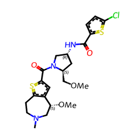 COC[C@@H]1C[C@@H](NC(=O)c2ccc(Cl)s2)CN1C(=O)c1cc2c(s1)CCN(C)C[C@H]2OC